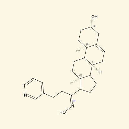 C[C@]12CCC3[C@@H](CC=C4C[C@@H](O)CC[C@@]43C)C1CCC2/C(CCc1cccnc1)=N/O